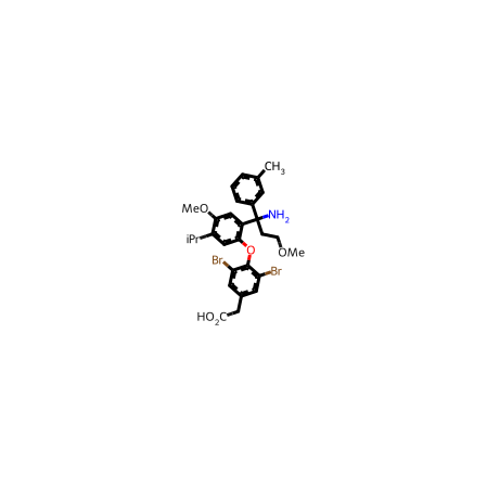 COCCC(N)(c1cccc(C)c1)c1cc(OC)c(C(C)C)cc1Oc1c(Br)cc(CC(=O)O)cc1Br